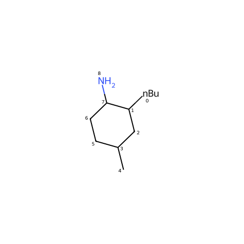 CCCCC1CC(C)CCC1N